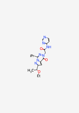 CCOC(C)c1cc2c(=O)n(CC(=O)Nc3ccncn3)nc(C(C)C)n2n1